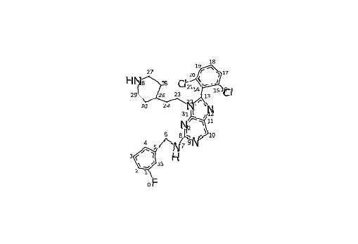 Fc1cccc(CNc2ncc3nc(-c4c(Cl)cccc4Cl)n(CCC4CCNCC4)c3n2)c1